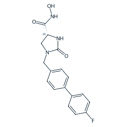 O=C(NO)[C@H]1CN(Cc2ccc(-c3ccc(F)cc3)cc2)C(=O)N1